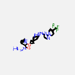 NC(=O)c1cccnc1OC1CC2(CC(Nc3ccnc(N4CCC(C(F)(F)F)CC4)n3)C2)C1